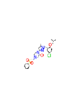 Cc1cc(N2CCN(CCS(=O)(=O)c3ccccc3)CC2=O)nn1Cc1cc(Cl)ccc1OCC(C)C